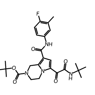 Cc1cc(NC(=O)c2cc(C(=O)C(=O)NC(C)(C)C)n3c2CN(C(=O)OC(C)(C)C)CC3)ccc1F